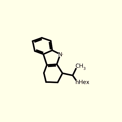 CCCCCCC(C)C1CCCC2=C1[N]c1ccccc12